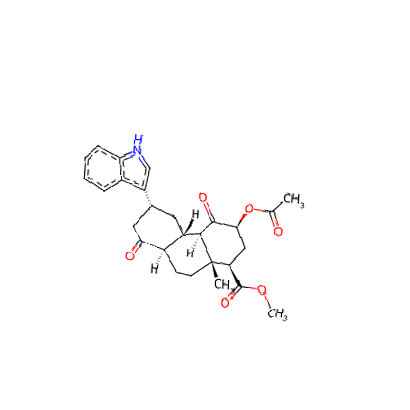 COC(=O)[C@@H]1C[C@H](OC(C)=O)C(=O)[C@@H]2[C@H]3C[C@@H](c4c[nH]c5ccccc45)CC(=O)[C@@H]3CC[C@]21C